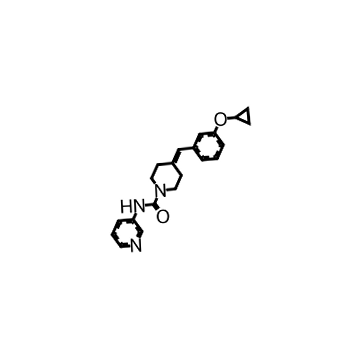 O=C(Nc1cccnc1)N1CCC(=Cc2cccc(OC3CC3)c2)CC1